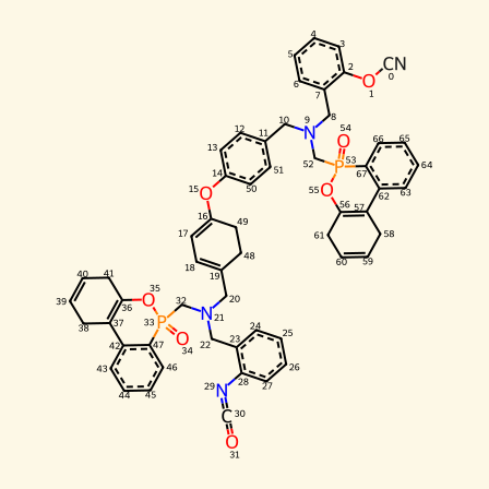 N#COc1ccccc1CN(Cc1ccc(OC2=CC=C(CN(Cc3ccccc3N=C=O)CP3(=O)OC4=C(CC=CC4)c4ccccc43)CC2)cc1)CP1(=O)OC2=C(CC=CC2)c2ccccc21